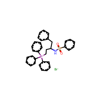 O=S(=O)(NC(CC[P+](c1ccccc1)(c1ccccc1)c1ccccc1)Cc1ccccc1)c1ccccc1.[Br-]